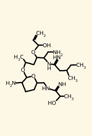 C=CC(O)OC(CC(C)OC1OC(CNC(=N)C(C)O)CCC1N)C(CN)NC(=N)CC(C)CC